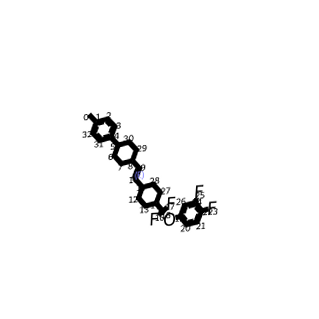 Cc1ccc(C2CCC(/C=C/C3CCC(C(F)(F)Oc4ccc(F)c(F)c4)CC3)CC2)cc1